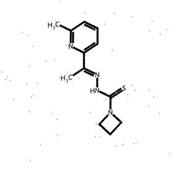 C/C(=N\NC(=S)N1CCC1)c1cccc(C)n1